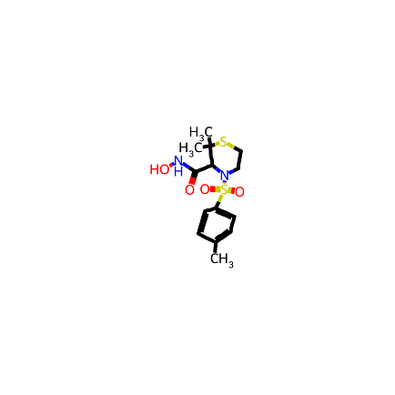 Cc1ccc(S(=O)(=O)N2CCSC(C)(C)C2C(=O)NO)cc1